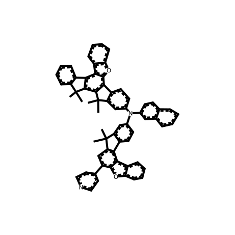 CC1(C)c2cc(N(c3ccc4c(c3)C(C)(C)c3c5c(c6c(oc7ccccc76)c3-4)-c3ccccc3C5(C)C)c3ccc4ccccc4c3)ccc2-c2c1cc(-c1ccncc1)c1oc3ccccc3c21